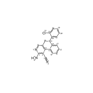 N#Cc1c(N)ncc2c1-c1ccccc1C(c1ccccc1Cl)C2